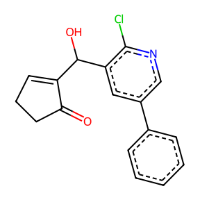 O=C1CCC=C1C(O)c1cc(-c2ccccc2)cnc1Cl